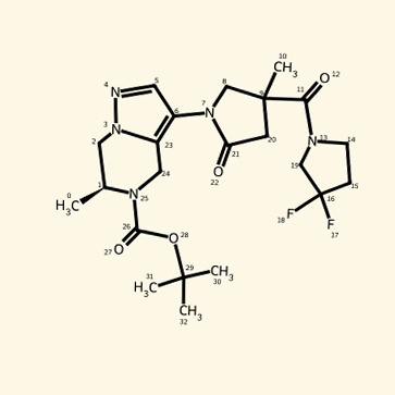 C[C@H]1Cn2ncc(N3CC(C)(C(=O)N4CCC(F)(F)C4)CC3=O)c2CN1C(=O)OC(C)(C)C